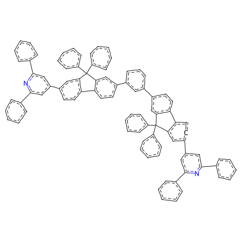 c1ccc(-c2cc(-c3ccc4c(c3)C(c3ccccc3)(c3ccccc3)c3cc(-c5cccc(-c6ccc7c(c6)C(c6ccccc6)(c6ccccc6)c6cc(-c8cc(-c9ccccc9)nc(-c9ccccc9)c8)ccc6-7)c5)ccc3-4)cc(-c3ccccc3)n2)cc1